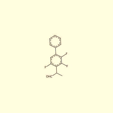 CC(C=O)c1c(F)cc(-c2ccccc2)c(F)c1F